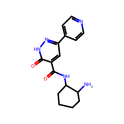 NC1CCCCC1NC(=O)c1cc(-c2ccncc2)n[nH]c1=O